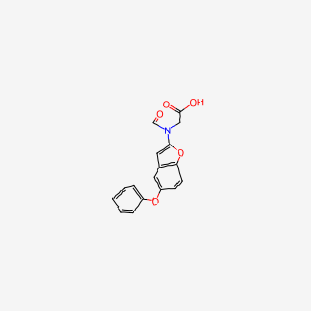 O=CN(CC(=O)O)c1cc2cc(Oc3ccccc3)ccc2o1